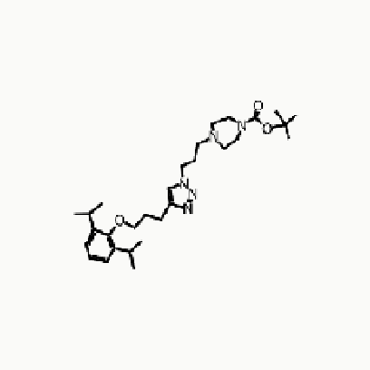 CC(C)c1cccc(C(C)C)c1OCCCc1cn(CCCN2CCN(C(=O)OC(C)(C)C)CC2)nn1